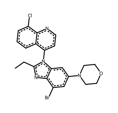 CCc1nc2c(Br)cc(N3CCOCC3)cc2n1-c1ccnc2c(Cl)cccc12